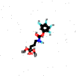 CCO[Si](O)(CCCN(F)C(=O)Oc1cc(F)c(F)c(F)c1F)OCC